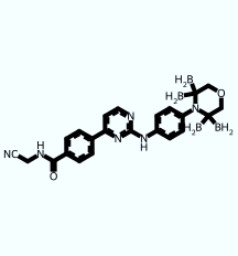 BC1(B)COCC(B)(B)N1c1ccc(Nc2nccc(-c3ccc(C(=O)NCC#N)cc3)n2)cc1